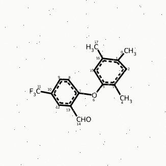 Cc1cc(C)c(Oc2ccc(C(F)(F)F)cc2C=O)cc1C